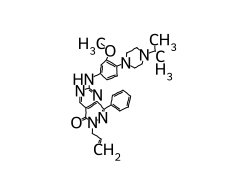 C=CCn1nc(-c2ccccc2)c2nc(Nc3ccc(N4CCN(C(C)C)CC4)c(OC)c3)ncc2c1=O